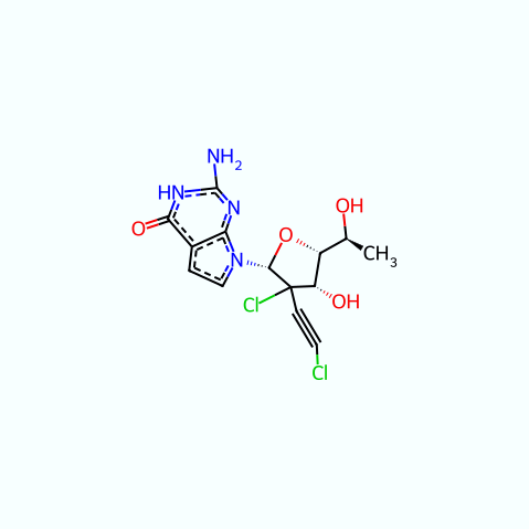 C[C@H](O)[C@H]1O[C@@H](n2ccc3c(=O)[nH]c(N)nc32)C(Cl)(C#CCl)[C@H]1O